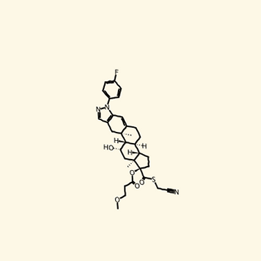 COCCC(=O)O[C@]1(C(=O)SCC#N)CC[C@H]2[C@@H]3CCC4=Cc5c(cnn5-c5ccc(F)cc5)C[C@]4(C)[C@H]3[C@@H](O)C[C@@]21C